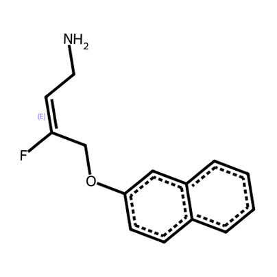 NC/C=C(/F)COc1ccc2ccccc2c1